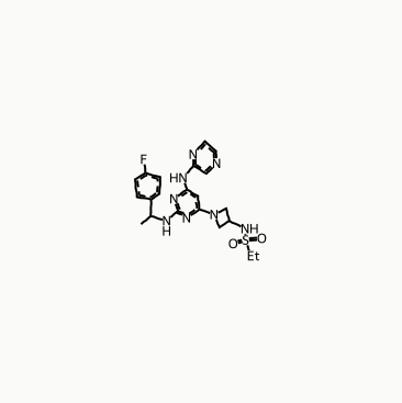 CCS(=O)(=O)NC1CN(c2cc(Nc3cnccn3)nc(NC(C)c3ccc(F)cc3)n2)C1